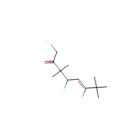 CC(C)(C)C(Cl)=CC(Cl)C(C)(C)C(=O)CBr